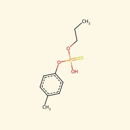 CCCOP(O)(=S)Oc1ccc(C)cc1